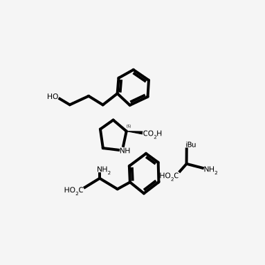 CCC(C)C(N)C(=O)O.NC(Cc1ccccc1)C(=O)O.O=C(O)[C@@H]1CCCN1.OCCCc1ccccc1